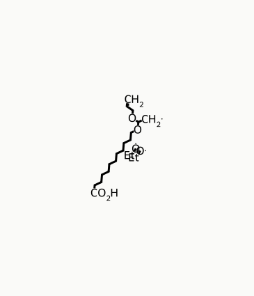 [CH2]C(OCC=C)OCCCCCCCCCCCC(=O)O.[CH2]C[O].[CH2]C[O]